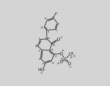 Cc1ccc(-n2cnc3cc(O)cc(OS(=O)(=O)C(F)(F)F)c3c2=O)cc1